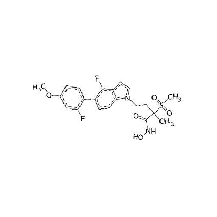 COc1ccc(-c2ccc3c(ccn3CCC(C)(C(=O)NO)S(C)(=O)=O)c2F)c(F)c1